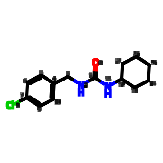 O=C(NCc1ccc(Cl)cc1)NC1CCCCC1